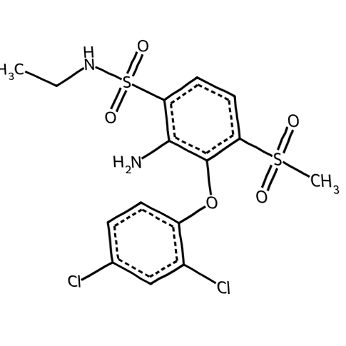 CCNS(=O)(=O)c1ccc(S(C)(=O)=O)c(Oc2ccc(Cl)cc2Cl)c1N